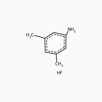 Cc1cc(C)cc(N)c1.F